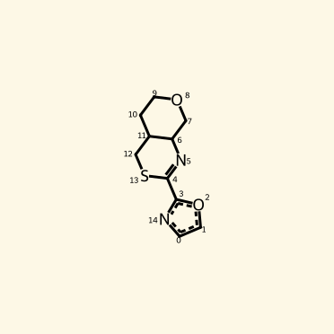 c1coc(C2=NC3COCCC3CS2)n1